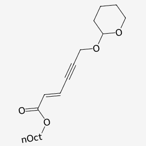 CCCCCCCCOC(=O)C=CC#CCOC1CCCCO1